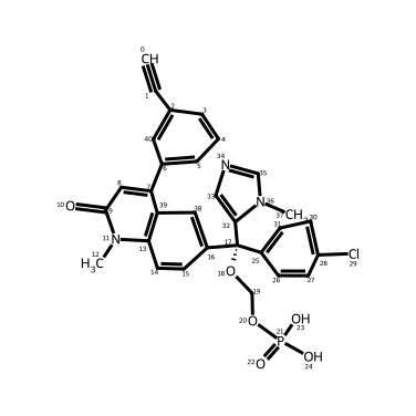 C#Cc1cccc(-c2cc(=O)n(C)c3ccc([C@](OCOP(=O)(O)O)(c4ccc(Cl)cc4)c4cncn4C)cc23)c1